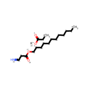 CCC(=O)[O-].CCCCCCCCCCCCOC(=O)CC=N.[K+]